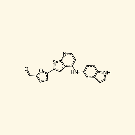 O=Cc1ccc(-c2cc3c(Nc4ccc5[nH]ccc5c4)ccnc3s2)o1